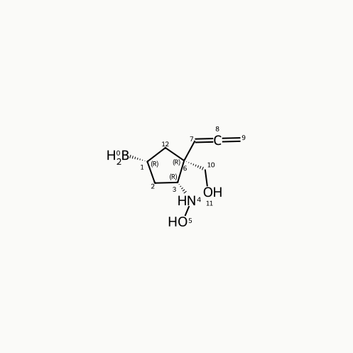 B[C@H]1C[C@@H](NO)[C@@](C=C=C)(CO)C1